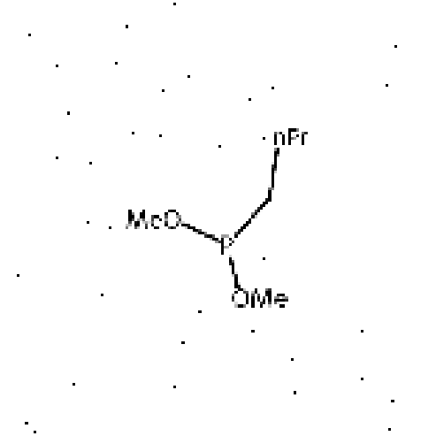 CCCCP(OC)OC